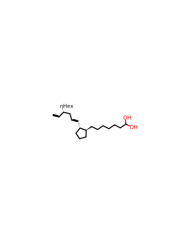 C=C[C@@H](CC=C[C@H]1CCC[C@@H]1CCCCCCC(O)O)CCCCCC